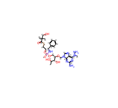 CC(O)[C@@H](O)[C@@H](COP(=O)(NCc1ccccc1)OCCSC(=O)C(C)(C)CO)OCn1cnc2c(N(C)N)nc(N)nc21